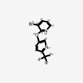 FC(F)(F)c1ccc(Oc2ncccc2Br)cn1